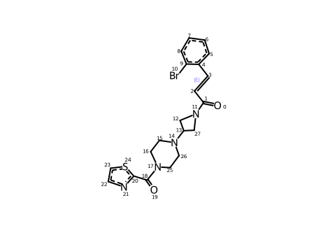 O=C(/C=C/c1ccccc1Br)N1CC(N2CCN(C(=O)c3nccs3)CC2)C1